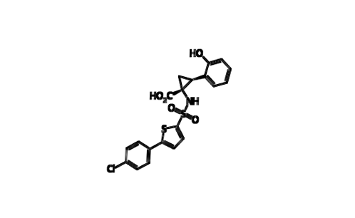 O=C(O)[C@@]1(NS(=O)(=O)c2ccc(-c3ccc(Cl)cc3)s2)C[C@H]1c1ccccc1O